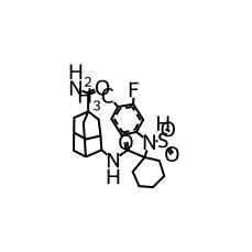 Cc1ccc(N([SH](=O)=O)C2(C(=O)NC3C4CC5CC3CC(C(N)=O)(C5)C4)CCCCC2)cc1F